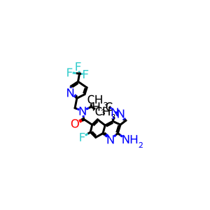 CC(C)N(Cc1ccc(C(F)(F)F)cn1)C(=O)c1cc2c(cc1F)nc(N)c1cnn(C)c12